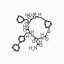 NC(=O)C[C@@H]1NC(=O)COc2ccc(cc2)C[C@@H](C(=O)O)NC(=O)[C@H](Cc2ccccc2)NC(=O)[C@H](Cc2ccc(-c3ccccc3)cc2)NC1=O